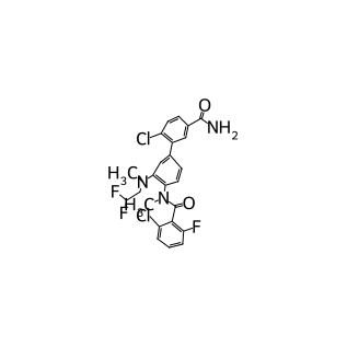 CN(CC(F)F)c1cc(-c2cc(C(N)=O)ccc2Cl)ccc1N(C)C(=O)c1c(F)cccc1Cl